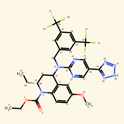 CCOC(=O)N1c2ccc(OC)cc2C(N(Cc2cc(C(F)(F)F)cc(C(F)(F)F)c2)c2ncc(-c3nn[nH]n3)cn2)C[C@H]1CC